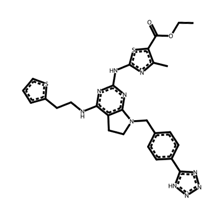 CCOC(=O)c1sc(Nc2nc(NCCc3cccs3)c3c(n2)N(Cc2ccc(-c4nnn[nH]4)cc2)CC3)nc1C